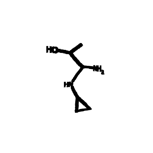 CC(O)C(N)NC1CC1